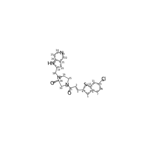 O=C(/C=C/c1cc2ccc(Cl)cc2s1)N1CCN(Cc2cc3cnccc3[nH]2)C(=O)C1